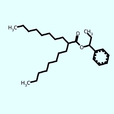 CCCCCCCCC(CCCCCCCC)C(=O)OC(CC)c1ccccc1